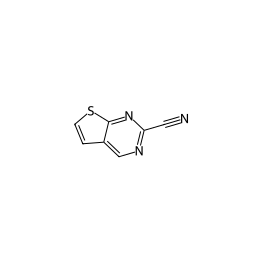 N#Cc1ncc2ccsc2n1